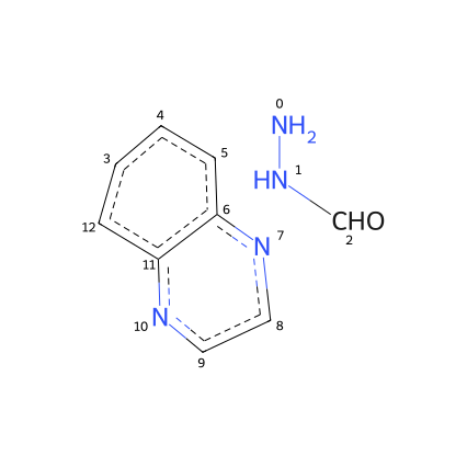 NNC=O.c1ccc2nccnc2c1